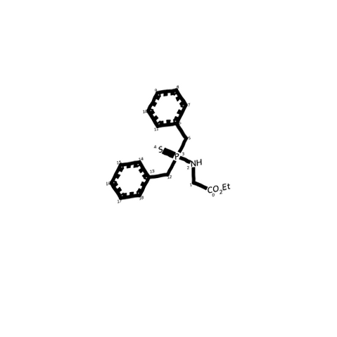 CCOC(=O)CNP(=S)(Cc1ccccc1)Cc1ccccc1